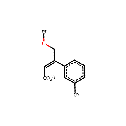 CCOC/C(=C/C(=O)O)c1cccc(C#N)c1